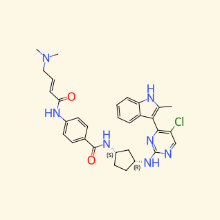 Cc1[nH]c2ccccc2c1-c1nc(N[C@@H]2CC[C@H](NC(=O)c3ccc(NC(=O)C=CCN(C)C)cc3)C2)ncc1Cl